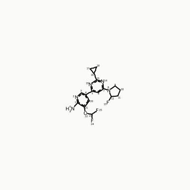 Nc1ncc(-c2cc(N3CCCC3F)nc(C3CC3)n2)cc1OC(F)F